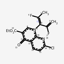 C=C(F)/C(=C(\C)F)n1cc(C(=O)OCC)c(=O)c2ccc(Cl)nc21